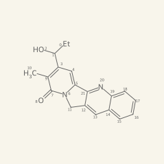 CCC(O)c1cc2n(c(=O)c1C)Cc1cc3ccccc3nc1-2